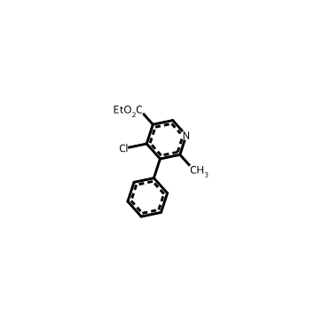 CCOC(=O)c1cnc(C)c(-c2ccccc2)c1Cl